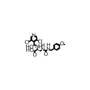 COc1ccc(CNC(=O)NC[C@H](NC(O)c2c(Cl)cncc2Cl)C(=O)O)cc1